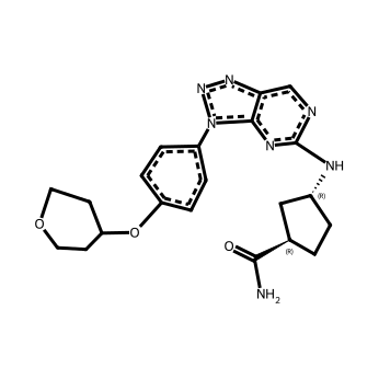 NC(=O)[C@@H]1CC[C@@H](Nc2ncc3nnn(-c4ccc(OC5CCOCC5)cc4)c3n2)C1